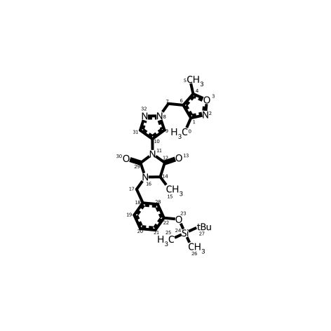 Cc1noc(C)c1Cn1cc(N2C(=O)C(C)N(Cc3cccc(O[Si](C)(C)C(C)(C)C)c3)C2=O)cn1